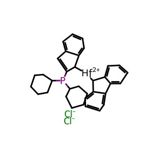 C1=C(P(C2CCCCC2)C2CCCCC2)[CH]([Hf+2][CH]2c3ccccc3-c3ccccc32)c2ccccc21.[Cl-].[Cl-]